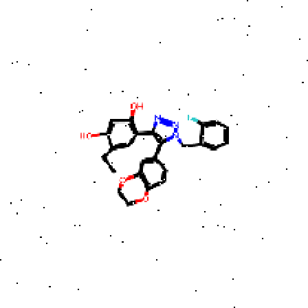 CCc1cc(-c2nnn(Cc3ccccc3F)c2-c2ccc3c(c2)OCCO3)c(O)cc1O